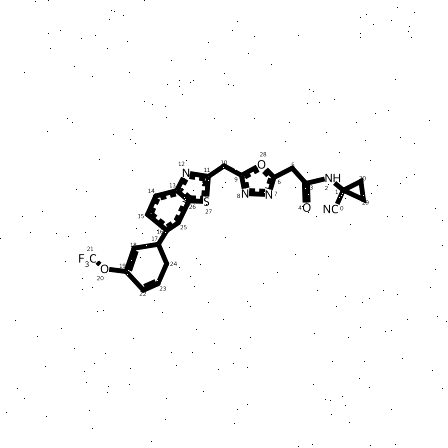 N#CC1(NC(=O)Cc2nnc(Cc3nc4ccc(C5C=C(OC(F)(F)F)C=CC5)cc4s3)o2)CC1